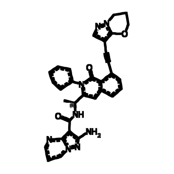 C[C@H](NC(=O)c1c(N)nn2cccnc12)c1cc2cccc(C#Cc3cnn4c3OCCC4)c2c(=O)n1-c1ccccc1